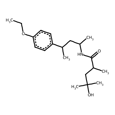 CCOc1ccc(C(C)CC(C)NC(=O)C(C)CC(C)(C)O)cc1